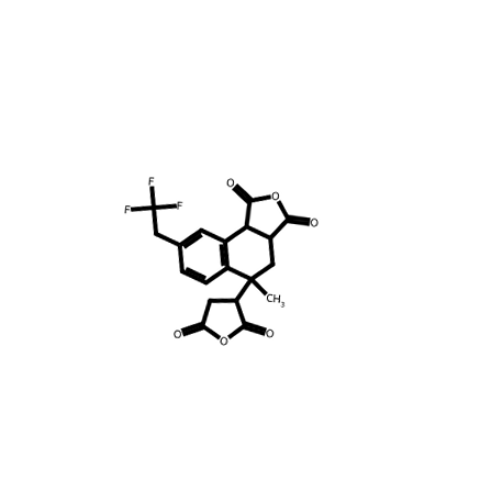 CC1(C2CC(=O)OC2=O)CC2C(=O)OC(=O)C2c2cc(CC(F)(F)F)ccc21